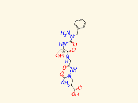 NC(=O)N(CCC(=O)O)NC(=O)CNC(=O)[C@H](CO)NC(=O)N(N)Cc1ccccc1